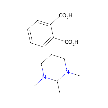 CC1N(C)CCCN1C.O=C(O)c1ccccc1C(=O)O